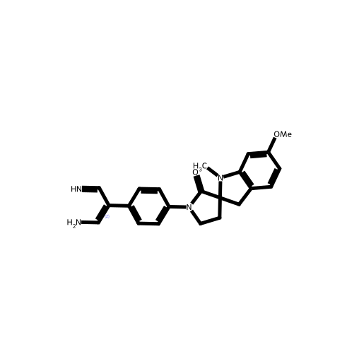 COc1ccc2c(c1)N(C)C1(CCN(c3ccc(/C(C=N)=C/N)cc3)C1=O)C2